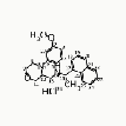 COc1cccc(N2CCOCC2CN[C@H](C)c2cccc3ccccc23)c1.Cl